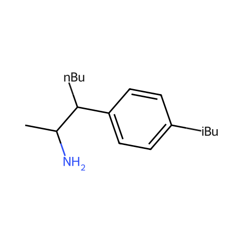 CCCCC(c1ccc(C(C)CC)cc1)C(C)N